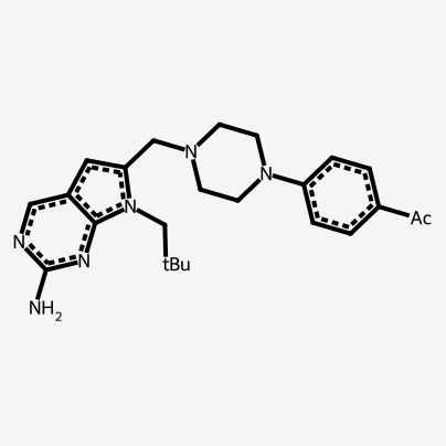 CC(=O)c1ccc(N2CCN(Cc3cc4cnc(N)nc4n3CC(C)(C)C)CC2)cc1